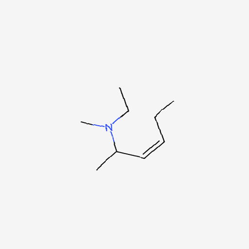 CC/C=C\C(C)N(C)CC